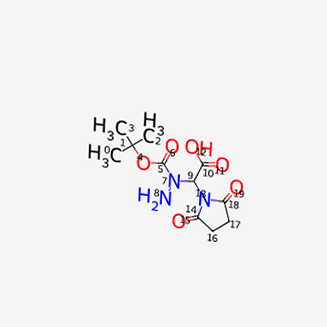 CC(C)(C)OC(=O)N(N)C(C(=O)O)N1C(=O)CCC1=O